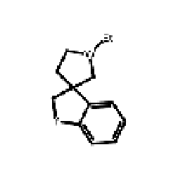 C[CH2][W]1[CH2]CC2([CH2][Y][c]3ccccc32)[CH2]1